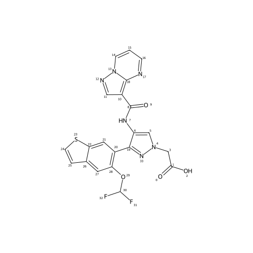 O=C(O)Cn1cc(NC(=O)c2cnn3cccnc23)c(-c2cc3sccc3cc2OC(F)F)n1